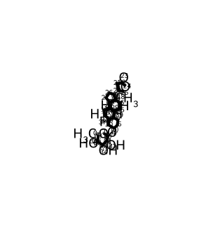 C[C@@H]1O[C@@H](O[C@H]2CC[C@@]3(C)[C@H](CC[C@@H]4[C@@H]3CC[C@]3(C)[C@@H](C5=CC(=O)OC5)CC[C@]43O)C2)[C@H](O)[C@H](O)[C@H]1O